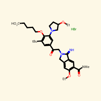 Br.CCOc1cc2c(cc1C(=O)NC)C(=N)N(CC(=O)c1cc(N3CCC(OCC)C3)c(OCCCCC(=O)O)c(C(C)(C)C)c1)C2